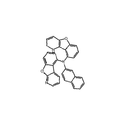 C1=Cc2oc3cccc(N(c4ccc5ccccc5c4)c4cccc5oc6ncccc6c45)c3c2NC1